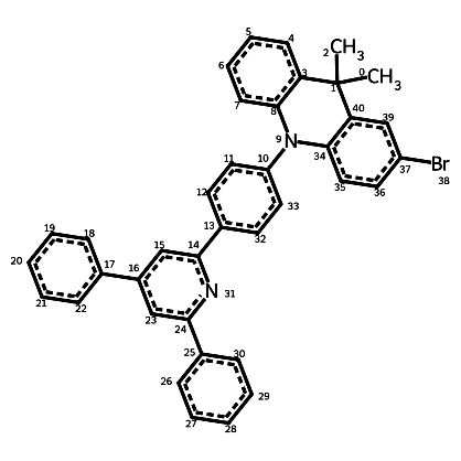 CC1(C)c2ccccc2N(c2ccc(-c3cc(-c4ccccc4)cc(-c4ccccc4)n3)cc2)c2ccc(Br)cc21